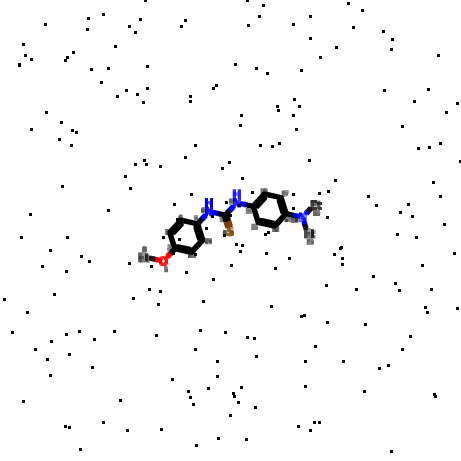 CCOc1ccc(NC(=S)Nc2ccc(N(CC)CC)cc2)cc1